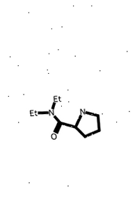 CCN(CC)C(=O)C1CCC[N]1